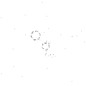 COc1c[nH]c(-c2ccccc2)c1